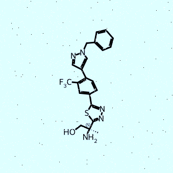 C[C@](N)(CO)c1nnc(-c2ccc(-c3cnn(Cc4ccccc4)c3)c(C(F)(F)F)c2)s1